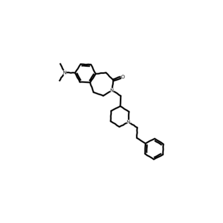 CN(C)c1ccc2c(c1)CCN(CC1CCCN(CCc3ccccc3)C1)C(=O)C2